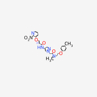 Cc1ccc(OCCN(C)C(=O)Cn2cc(NC(=O)/C=C/Oc3cccnc3[N+](=O)[O-])cn2)cc1